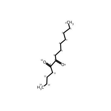 CCCCCCCC(=O)C(=O)CCCC